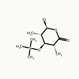 CC[C@H]1OC(=O)[C@H](C)[C@@H](O[Si](C)(C)C)[C@@H]1C